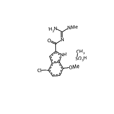 CNC(N)=NC(=O)c1cc2c(Cl)ccc(OC)c2[nH]1.CS(=O)(=O)O